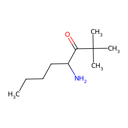 CCCCC(N)C(=O)C(C)(C)C